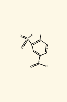 Cc1ccc(C(=O)Cl)cc1S(=O)(=O)Cl